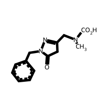 CN(CC1=NN(Cc2ccccc2)C(=O)C1)C(=O)O